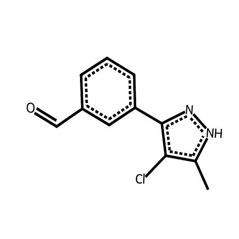 Cc1[nH]nc(-c2cccc(C=O)c2)c1Cl